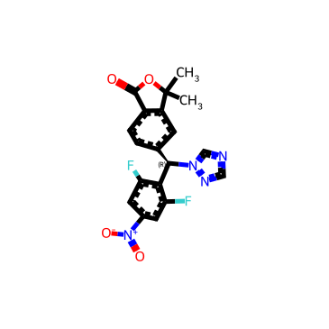 CC1(C)OC(=O)c2ccc([C@H](c3c(F)cc([N+](=O)[O-])cc3F)n3cncn3)cc21